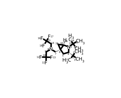 CC(C)(C)[C@@H]1C[C@@]2(CN(CC(F)(F)F)CC(F)(F)F)C[C@H]2N1C(C)(C)C